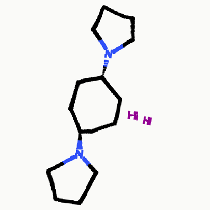 C1CCN([C@H]2CC[C@H](N3CCCC3)CC2)C1.I.I